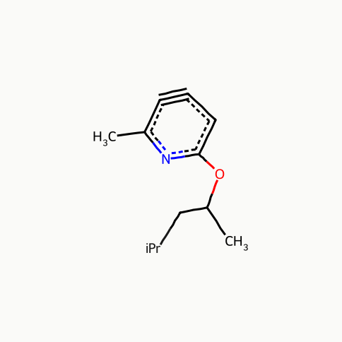 Cc1c#ccc(OC(C)CC(C)C)n1